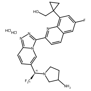 Cl.Cl.NC1CCN([C@H](c2ccc3nnc(-c4ccc5cc(F)cc(C6(CO)CC6)c5n4)n3c2)C(F)(F)F)C1